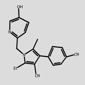 CCc1c(C#N)c(-c2ccc(C#N)cc2)c(C)n1Cc1ccc(O)cn1